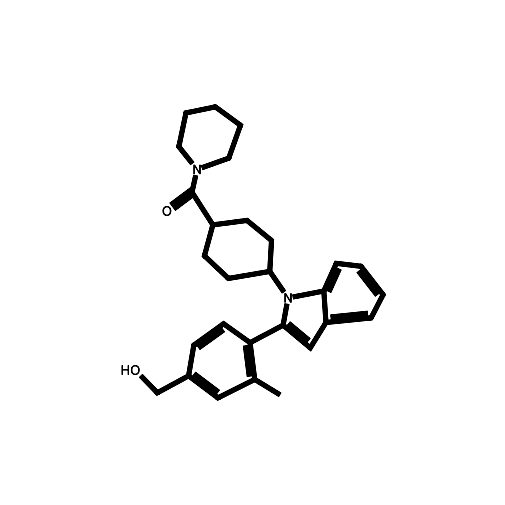 Cc1cc(CO)ccc1-c1cc2ccccc2n1C1CCC(C(=O)N2CCCCC2)CC1